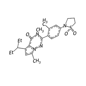 CCC(CC)c1cc(C)n2nc(-c3ccc(N4CCCS4(=O)=O)cc3C)n(C)c(=O)c12